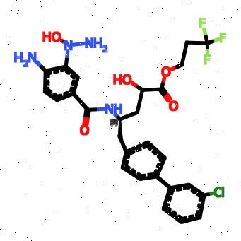 Nc1ccc(C(=O)N[C@H](Cc2ccc(-c3cccc(Cl)c3)cc2)CC(O)C(=O)OCCC(F)(F)F)cc1N(N)O